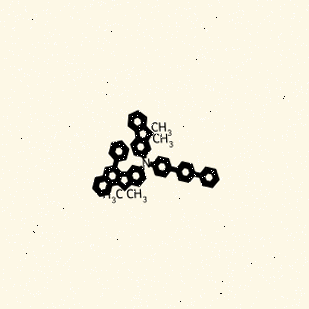 CC1(C)c2ccccc2-c2ccc(N(c3ccc(-c4ccc(-c5ccccc5)cc4)cc3)c3ccc4c(c3)-c3c(-c5ccccc5)cc5ccccc5c3C4(C)C)cc21